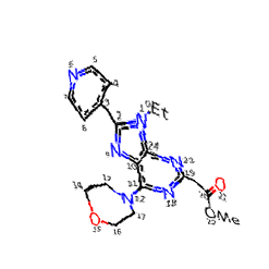 CCn1c(-c2ccncc2)nc2c(N3CCOCC3)nc(C(=O)OC)nc21